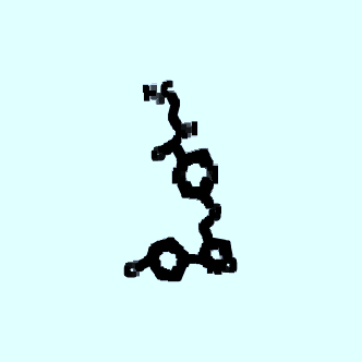 CCCNC(=O)c1cnc(OCc2conc2-c2ccc(Cl)cc2)cn1